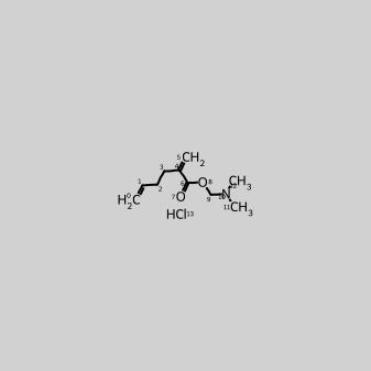 C=CCCC(=C)C(=O)OCN(C)C.Cl